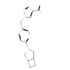 CC(=O)c1cnn(Cc2ccc(N3CC4CCC4C3)nc2)c1